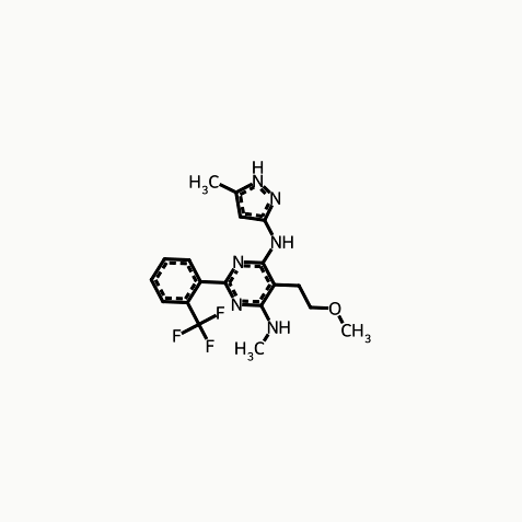 CNc1nc(-c2ccccc2C(F)(F)F)nc(Nc2cc(C)[nH]n2)c1CCOC